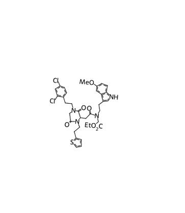 CCOC(=O)CN(CCc1c[nH]c2ccc(OC)cc12)C(=O)CC1C(=O)N(CCc2ccc(Cl)cc2Cl)CC(=O)N1CCc1cccs1